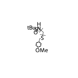 COc1ccc(CSC(C)(C)CC(C)(C)N[S+]([O-])C(C)(C)C)cc1